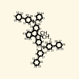 CC1(C)c2cc(N(c3ccc(-c4ccccc4)cc3)c3ccc(-c4ccccc4)cc3)ccc2-c2c1c1ccc(N(c3ccccc3)c3ccc(-c4ccccc4)cc3)cc1c1ccccc21